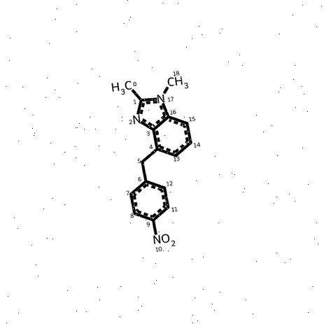 Cc1nc2c(Cc3ccc([N+](=O)[O-])cc3)cccc2n1C